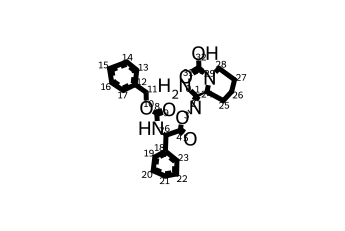 N/C(=N\OC(=O)[C@H](NC(=O)OCc1ccccc1)c1ccccc1)[C@@H]1CCCCN1C(=O)O